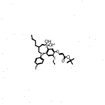 CCCCC1CN(c2ccc(F)cc2)c2cc(SCC)c(O/C=C/C(=O)OC(C)(C)C)cc2S(O)(O)C1